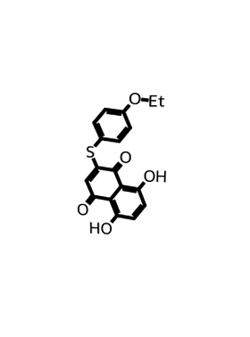 CCOc1ccc(SC2=CC(=O)c3c(O)ccc(O)c3C2=O)cc1